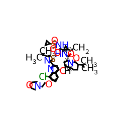 C=C[C@@H]1C[C@]1(NC(=O)[C@@H]1C[C@@H](Oc2cc(-c3nc(C(C)C)cs3)nc3c(Cl)c(OCCN4CCOCC4)ccc23)[C@H]2CCC(C(C)C)C(=O)N21)C(=O)NS(=O)(=O)C1CC1